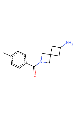 Cc1ccc(C(=O)N2CC3(CC(N)C3)C2)cc1